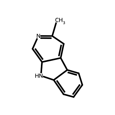 Cc1cc2c(cn1)[nH]c1ccccc12